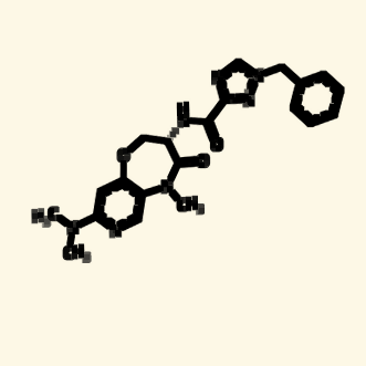 CN(C)c1cc2c(cn1)N(C)C(=O)[C@@H](NC(=O)c1ncn(Cc3ccccc3)n1)CO2